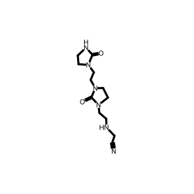 N#CCNCCN1CCN(CCN2CCNC2=O)C1=O